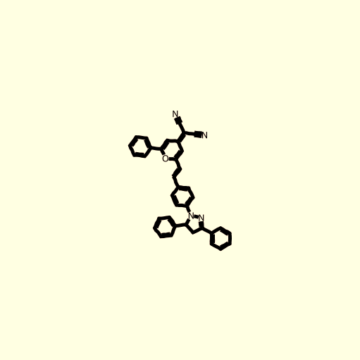 N#CC(C#N)=C1C=C(/C=C/c2ccc(N3N=C(c4ccccc4)CC3c3ccccc3)cc2)OC(c2ccccc2)=C1